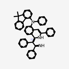 CC1(C)c2ccccc2-c2c(N(c3ccccc3)c3cccc4c3C=C(c3ccccc3)N/C4=C(\C(=N)c3ccccc3)c3ccccc3)cccc21